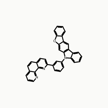 c1cc(-c2ccc3ccc4cccnc4c3n2)cc(-n2c3ccccc3c3cc4c(cc32)oc2ccccc24)c1